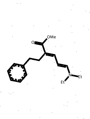 CCN(/C=C/C=C(\CCc1ccccc1)C(=O)OC)CC